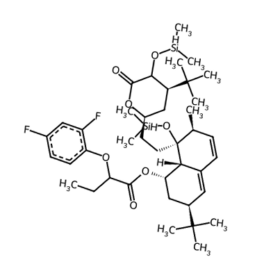 CCC(Oc1ccc(F)cc1F)C(=O)O[C@H]1C[C@H](C(C)(C)C)C=C2C=C[C@H](C)[C@](CC[C@@H]3C[C@H](C(C)(C)C)C(O[SiH](C)C)C(=O)O3)(O[SiH](C)C)[C@H]21